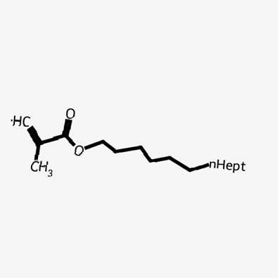 [CH]=C(C)C(=O)OCCCCCCCCCCCCC